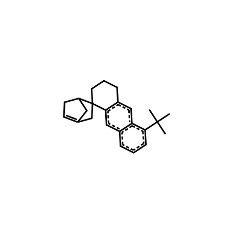 CC(C)(C)c1cccc2cc3c(cc12)CCCC31CC2=CCC1C2